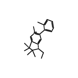 CCC1c2cc(-c3ccccc3C)[n+](C)cc2C(C)(C)C1(C)C